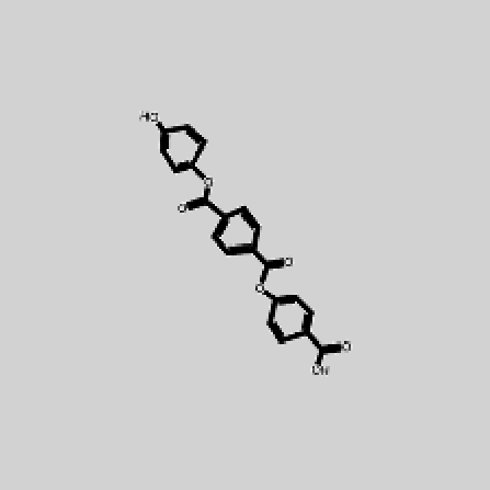 O=C(O)c1ccc(OC(=O)c2ccc(C(=O)Oc3ccc(O)cc3)cc2)cc1